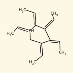 CC=C1C[PH](=CC)C(=CC)C(=CC)C1=CC